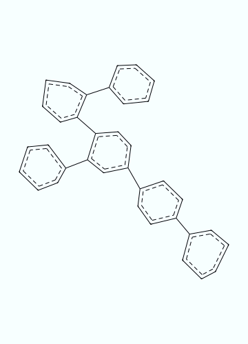 c1ccc(-c2ccc(-c3ccc(-c4ccccc4-c4ccccc4)c(-c4ccccc4)c3)cc2)cc1